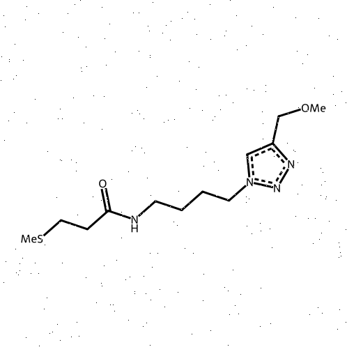 COCc1cn(CCCCNC(=O)CCSC)nn1